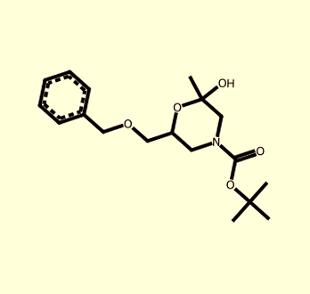 CC(C)(C)OC(=O)N1CC(COCc2ccccc2)OC(C)(O)C1